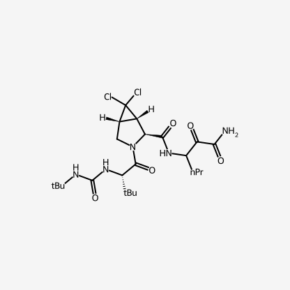 CCCC(NC(=O)[C@@H]1[C@@H]2[C@H](CN1C(=O)[C@@H](NC(=O)NC(C)(C)C)C(C)(C)C)C2(Cl)Cl)C(=O)C(N)=O